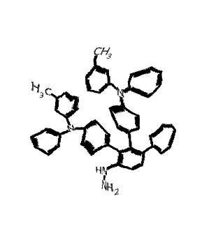 Cc1cccc(N(c2ccccc2)c2ccc(-c3c(NN)ccc(-c4ccccc4)c3-c3ccc(N(c4ccccc4)c4cccc(C)c4)cc3)cc2)c1